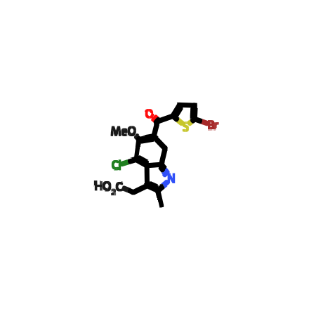 COC1=C(C(=O)c2ccc(Br)s2)CC2=NC(C)=C(CC(=O)O)C2=C1Cl